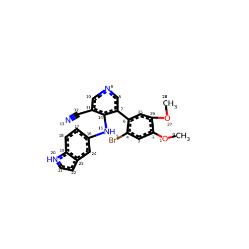 COc1cc(Br)c(-c2cncc(C#N)c2Nc2ccc3[nH]ccc3c2)cc1OC